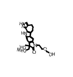 COCC1(CO)C(=O)N(CCOCCO)c2cc3c4c([nH]c3cc21)-c1n[nH]cc1CCC4